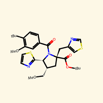 COC[C@H]1C[C@@](Cc2cscn2)(C(=O)OC(C)(C)C)N(C(=O)c2ccc(C(C)(C)C)c(OC)c2)[C@H]1c1nccs1